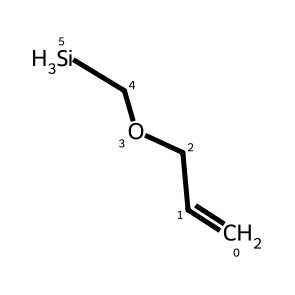 C=CCOC[SiH3]